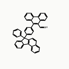 N=Cc1c(-c2ccc(C3(c4ccccc4)c4ccccc4-c4c3ccc3ccccc43)cc2)c2ccccc2c2ccccc12